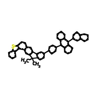 CC1(C)c2ccc(-c3ccc(-c4c5ccccc5c(-c5ccc6ccccc6c5)c5ccccc45)cc3)cc2-c2cc3ccc4sc5ccccc5c4c3cc21